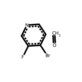 C=O.Fc1cnccc1Br